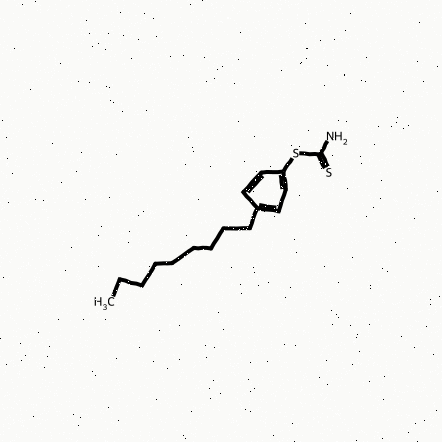 CCCCCCCCCc1ccc(SC(N)=S)cc1